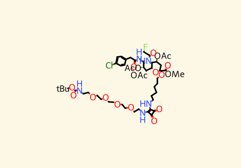 COC(=O)[C@@]1(OCCCCCCNc2c(NCCOCCOCCOCCOCCNC(=O)OC(C)(C)C)c(=O)c2=O)C[C@H](OC(C)=O)[C@@H](NC(=O)CF)[C@H]([C@H](OC(C)=O)[C@@H](CNC(=O)Cc2ccc(Cl)cc2)OC(C)=O)O1